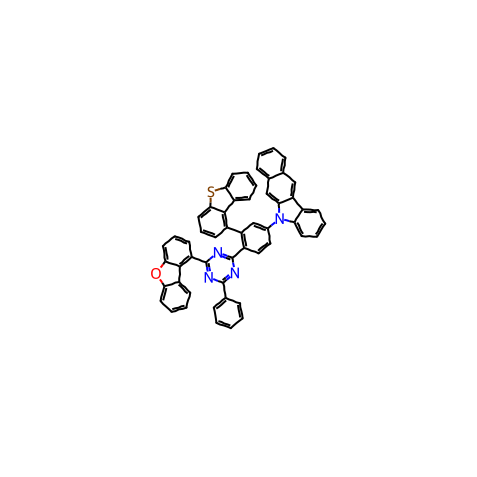 c1ccc(-c2nc(-c3ccc(-n4c5ccccc5c5cc6ccccc6cc54)cc3-c3cccc4sc5ccccc5c34)nc(-c3cccc4oc5ccccc5c34)n2)cc1